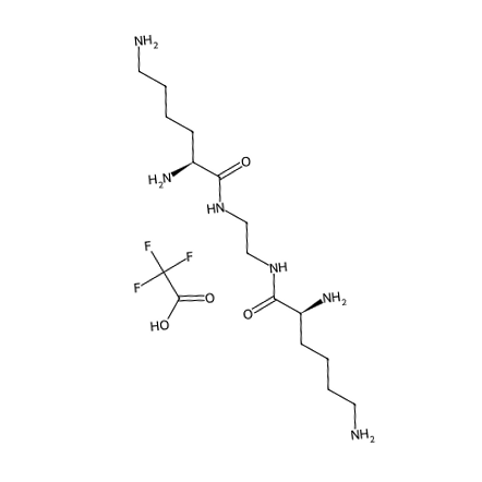 NCCCC[C@H](N)C(=O)NCCNC(=O)[C@@H](N)CCCCN.O=C(O)C(F)(F)F